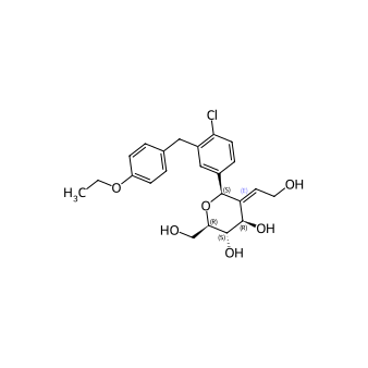 CCOc1ccc(Cc2cc([C@@H]3O[C@H](CO)[C@@H](O)[C@H](O)/C3=C\CO)ccc2Cl)cc1